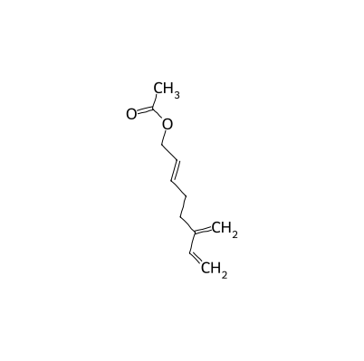 C=CC(=C)CCC=CCOC(C)=O